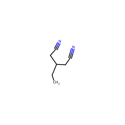 CCC(CC#N)CC#N